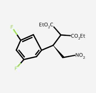 CCOC(=O)C(C(=O)OCC)[C@@H](C[N+](=O)[O-])c1cc(F)cc(F)c1